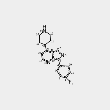 Fc1ccc(-c2nsc3c(C4CCNCC4)ccnc23)cc1